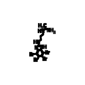 C=C(N)NCCCNc1nc2c(Br)c(Br)c(Br)c(Br)c2[nH]1